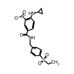 CCS(=O)(=O)c1ccc(CNC(=O)c2ccc(NC3CC3)c([N+](=O)[O-])c2)cc1